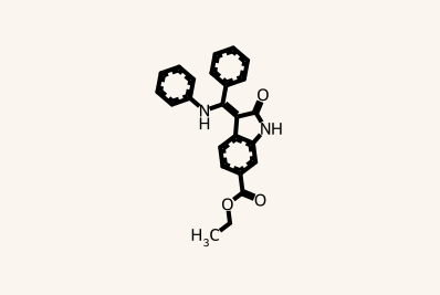 CCOC(=O)c1ccc2c(c1)NC(=O)C2=C(Nc1ccccc1)c1ccccc1